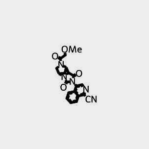 COCC(=O)N1CC2CC1C1C(=O)N(c3cnc(C#N)c4ccccc34)C(=O)N21